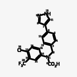 O=C(O)N(Cc1ccc(-c2cn[nH]c2)cc1)c1ccc(Cl)c(C(F)(F)F)c1